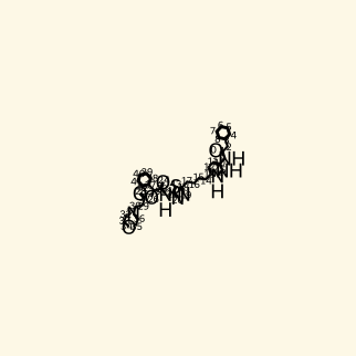 O=C(Cc1ccccc1)NC1=CC=C(CCCCc2nnc(NC(=O)C(OC(=O)CCN3CCOCC3)c3ccccc3)s2)NN1